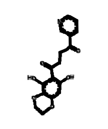 O=C(CCC(=O)c1c(O)cc2c(c1O)OCCO2)c1cccnc1